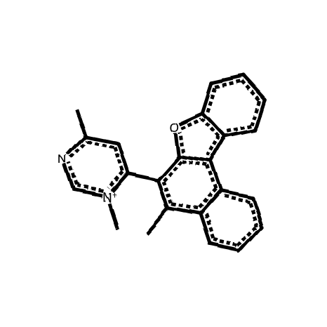 Cc1cc(-c2c(C)c3ccccc3c3c2oc2ccccc23)[n+](C)cn1